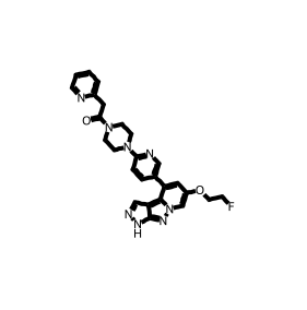 O=C(Cc1ccccn1)N1CCN(c2ccc(-c3cc(OCCF)cn4nc5[nH]ncc5c34)cn2)CC1